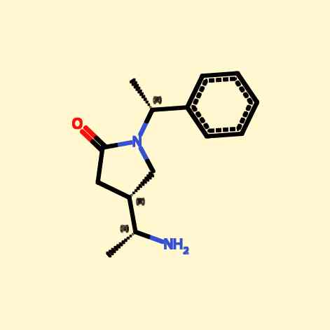 C[C@H](c1ccccc1)N1C[C@H]([C@@H](C)N)CC1=O